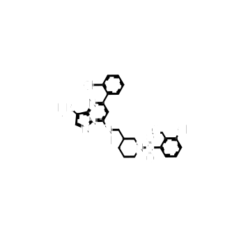 Bc1cnn2c(NCC3CCCN(S(=O)(=O)c4cccc(Cl)c4Cl)C3)cc(-c3ccccc3Cl)nc12